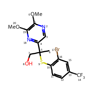 COc1ncc(C(C)(CO)Sc2ccc(C(F)(F)F)cc2Br)nc1OC